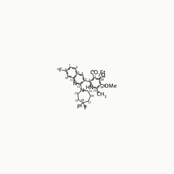 CCOC(=O)c1c(-c2cc3ccc(F)cc3nc2N2CCCC(F)(F)CC2)[nH]c(C)c(OC)c1=O